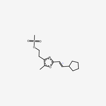 Cc1oc(/C=C/C2CCCC2)nc1CCOS(C)(=O)=O